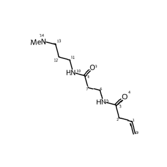 C=CCC(=O)NCCC(=O)NCCCNC